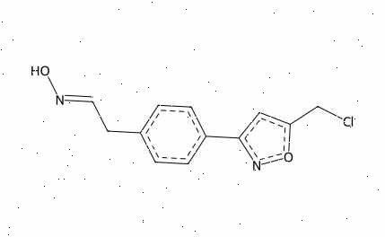 ON=CCc1ccc(-c2cc(CCl)on2)cc1